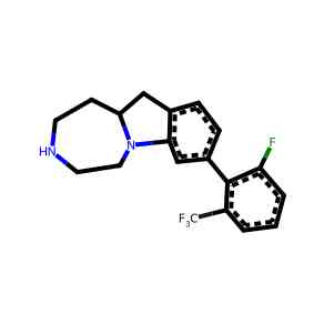 Fc1cccc(C(F)(F)F)c1-c1ccc2c(c1)N1CCNCCC1C2